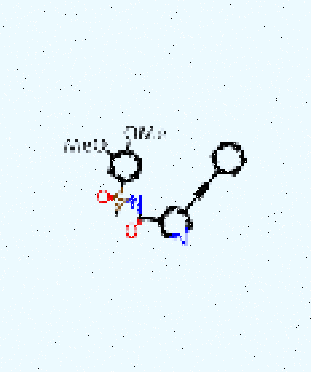 COc1ccc(S(C)(=O)=NC(=O)c2cncc(C#Cc3ccccc3)c2)cc1OC